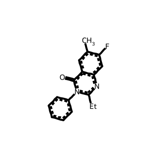 CCc1nc2cc(F)c(C)cc2c(=O)n1-c1ccccc1